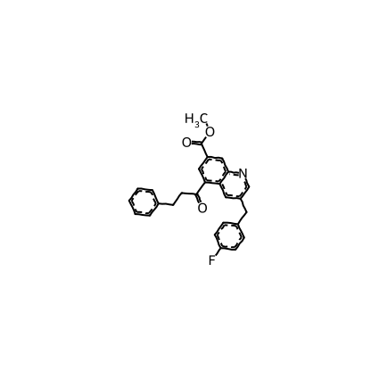 COC(=O)c1cc(C(=O)CCc2ccccc2)c2cc(Cc3ccc(F)cc3)cnc2c1